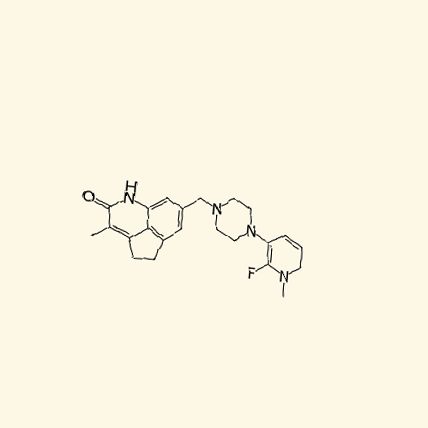 Cc1c2c3c(cc(CN4CCN(C5=C(F)N(C)CC=C5)CC4)cc3[nH]c1=O)CC2